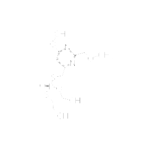 CCCSP(=O)(OCC)SCc1cc(OC)nc(COC)n1